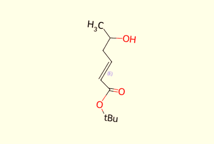 CC(O)C/C=C/C(=O)OC(C)(C)C